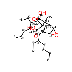 CCCCC(CC)CC12CC(C3OC31)C(C)(C(=O)O)C2(CC(CC)CCCC)C(=O)O